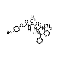 CC(C)c1ccc(OCC(=O)N[C@@H](C)C(=O)N[C@H]2N=C(c3ccccc3)c3ccccc3N(C)C2=O)cc1